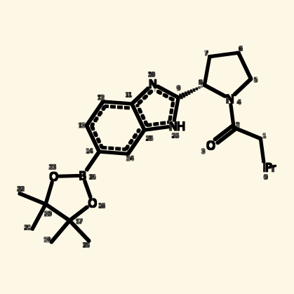 CC(C)CC(=O)N1CCC[C@H]1c1nc2ccc(B3OC(C)(C)C(C)(C)O3)cc2[nH]1